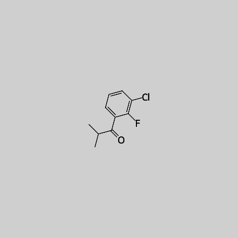 CC(C)C(=O)c1cccc(Cl)c1F